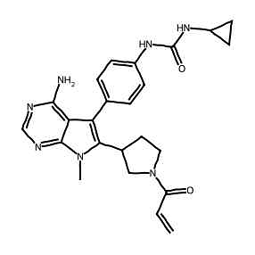 C=CC(=O)N1CCC(c2c(-c3ccc(NC(=O)NC4CC4)cc3)c3c(N)ncnc3n2C)C1